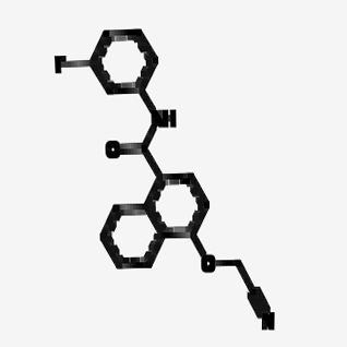 N#CCOc1ccc(C(=O)Nc2cccc(F)c2)c2ccccc12